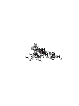 Cc1cc(Nc2cc(N3CCN(S(C)(=O)=O)CC3)nc(N[C@@H]3C[C@H]4CC[C@@H](C3)N4CCC#N)n2)n[nH]1